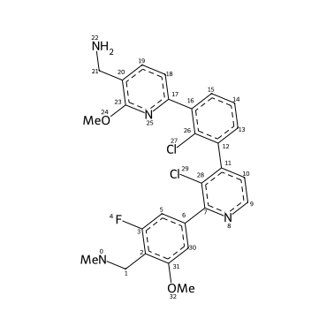 CNCc1c(F)cc(-c2nccc(-c3cccc(-c4ccc(CN)c(OC)n4)c3Cl)c2Cl)cc1OC